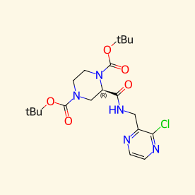 CC(C)(C)OC(=O)N1CCN(C(=O)OC(C)(C)C)[C@@H](C(=O)NCc2nccnc2Cl)C1